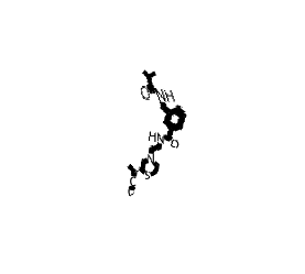 CC(=C=O)[C@@H]1CN(CCNC(=O)c2cccc(CNC(=O)C(C)C)c2)CCS1